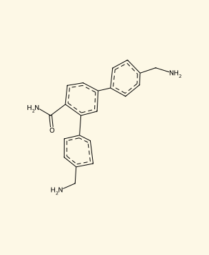 NCc1ccc(-c2ccc(C(N)=O)c(-c3ccc(CN)cc3)c2)cc1